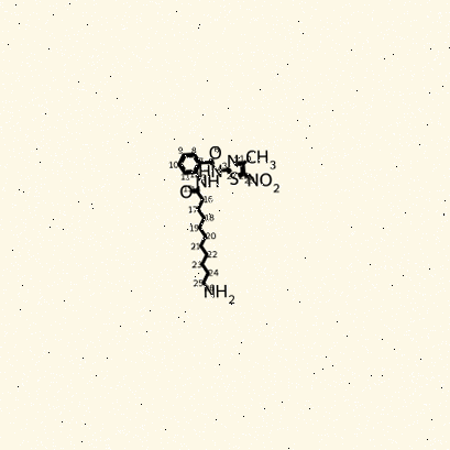 Cc1nc(NC(=O)c2ccccc2NC(=O)CCCCCCCCCCN)sc1[N+](=O)[O-]